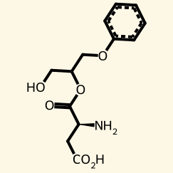 N[C@@H](CC(=O)O)C(=O)OC(CO)COc1ccccc1